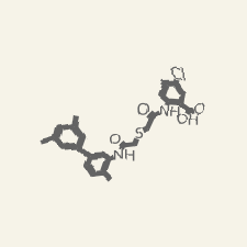 Cc1cc(C)cc(-c2ccc(C)c(NC(=O)CSCC(=O)Nc3ccc(Cl)cc3C(=O)O)c2)c1